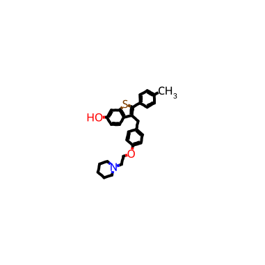 Cc1ccc(-c2sc3cc(O)ccc3c2Cc2ccc(OCCN3CCCCC3)cc2)cc1